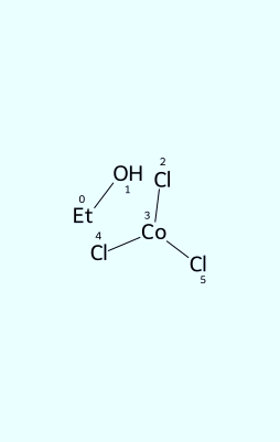 CCO.[Cl][Co]([Cl])[Cl]